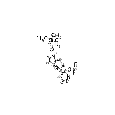 C[Si](C)(C)CCOCn1ccc2nc(-c3cccnc3OC(F)F)ncc21